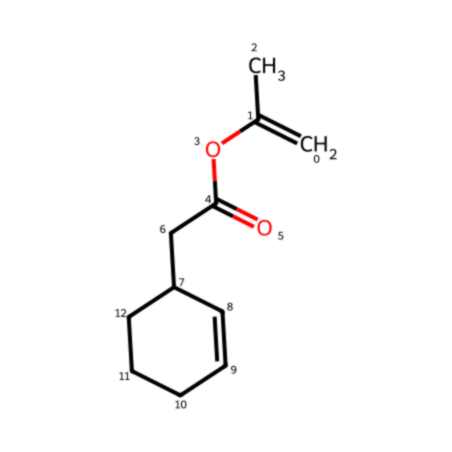 C=C(C)OC(=O)CC1C=CCCC1